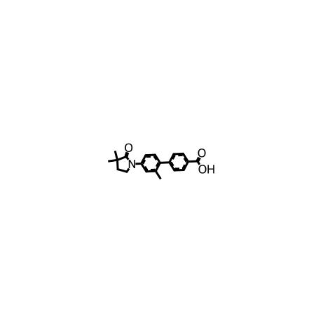 Cc1cc(N2CCC(C)(C)C2=O)ccc1-c1ccc(C(=O)O)cc1